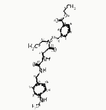 CCOC(=O)c1cccc(CON(CC)C(=O)CNC(=O)NCc2ccc(NC)cc2)c1